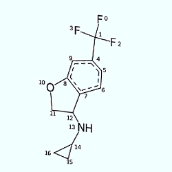 FC(F)(F)c1ccc2c(c1)OCC2NC1CC1